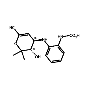 CC1(C)OC(C#N)=C[C@@H](Nc2ccccc2NC(=O)O)[C@@H]1O